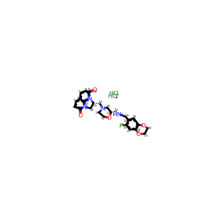 Cl.Cl.O=c1ccc2ccc(=O)n3c2n1C[C@H]3CN1CCO[C@@H](CNCc2cc3c(cc2F)OCCO3)C1